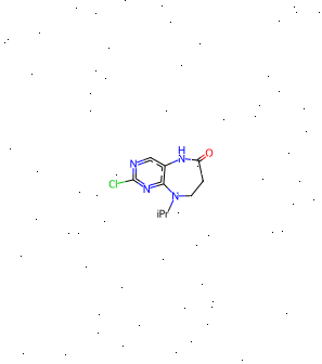 CC(C)N1CCC(=O)Nc2cnc(Cl)nc21